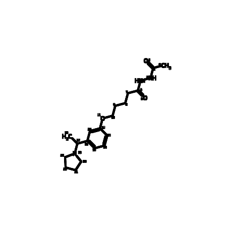 CC(=O)NNC(=O)CCCCOc1cccc(C(C)N2CCCC2)c1